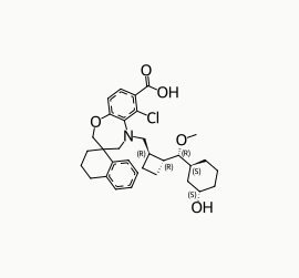 CO[C@H]([C@H]1CCC[C@H](O)C1)[C@@H]1CC[C@H]1CN1CC2(CCCc3ccccc32)COc2ccc(C(=O)O)c(Cl)c21